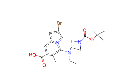 CCN(c1c(C)c(C(=O)O)cc2cc(Br)cn12)C1CN(C(=O)OC(C)(C)C)C1